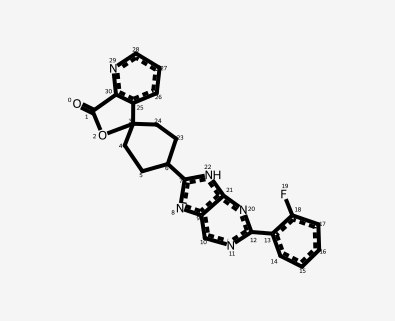 O=C1OC2(CCC(c3nc4cnc(-c5ccccc5F)nc4[nH]3)CC2)c2cccnc21